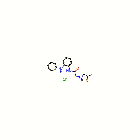 CC1C[N+](CC(=O)Nc2ccccc2Nc2ccccc2)=CS1.[Cl-]